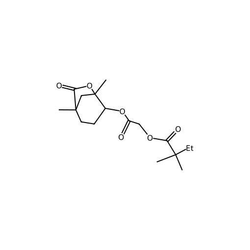 CCC(C)(C)C(=O)OCC(=O)OC1CCC2(C)CC1(C)OC2=O